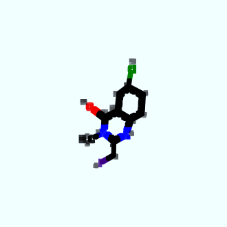 Cn1c(CI)nc2ccc(Cl)cc2c1=O